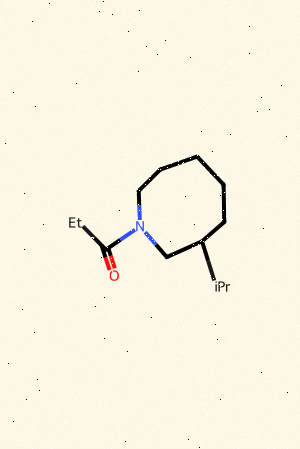 CCC(=O)N1CCCCCC(C(C)C)C1